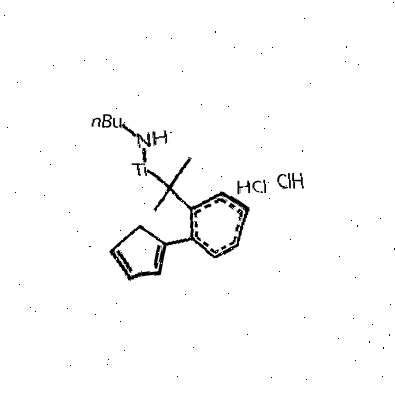 CCCC[NH][Ti][C](C)(C)c1ccccc1C1=CC=CC1.Cl.Cl